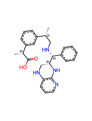 C[C@H](CN[C@H](c1ccccc1)[C@H]1CNc2cccnc2N1)c1cccc([C@@H](C)C(=O)O)c1